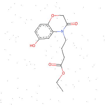 CCOC(=O)CCCN1C(=O)COc2ccc(O)cc21